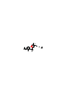 Cn1ncc(-c2ccc3c(=O)[nH]nc(CNC(=O)OC(C)(C)C)c3c2)c1-c1c(F)cc2ncc(Cl)cc2c1C#N